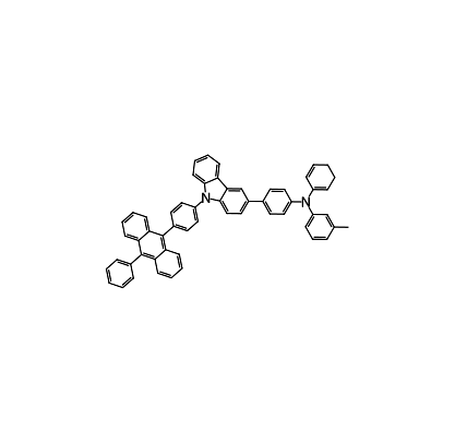 Cc1cccc(N(C2=CCCC=C2)c2ccc(-c3ccc4c(c3)c3ccccc3n4-c3ccc(-c4c5ccccc5c(-c5ccccc5)c5ccccc45)cc3)cc2)c1